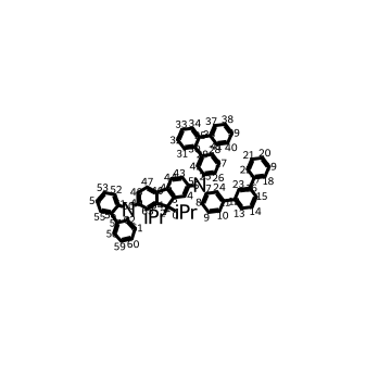 CC(C)C1(C(C)C)c2cc(N(c3cccc(-c4cccc(-c5ccccc5)c4)c3)c3cccc(-c4ccccc4-c4ccccc4)c3)ccc2-c2ccc(-n3c4ccccc4c4ccccc43)cc21